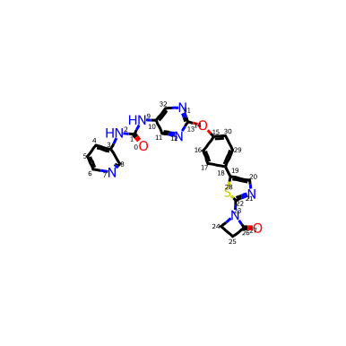 O=C(Nc1cccnc1)Nc1cnc(Oc2ccc(-c3cnc(N4CCC4=O)s3)cc2)nc1